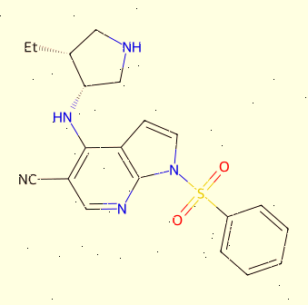 CC[C@@H]1CNC[C@@H]1Nc1c(C#N)cnc2c1ccn2S(=O)(=O)c1ccccc1